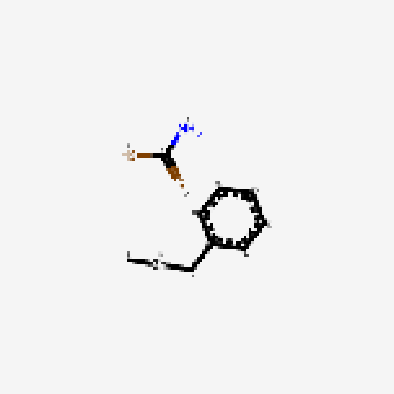 NC(=S)S.[CH3][Zn][CH2]c1ccccc1